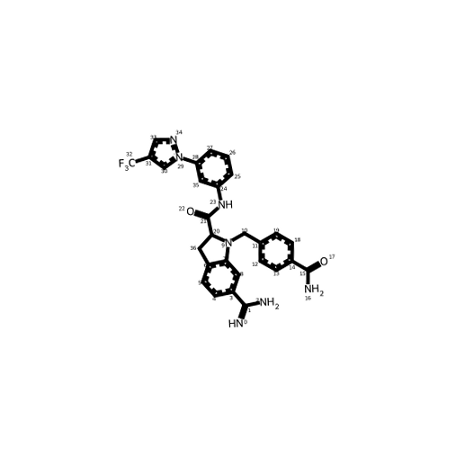 N=C(N)c1ccc2c(c1)N(Cc1ccc(C(N)=O)cc1)C(C(=O)Nc1cccc(-n3cc(C(F)(F)F)cn3)c1)C2